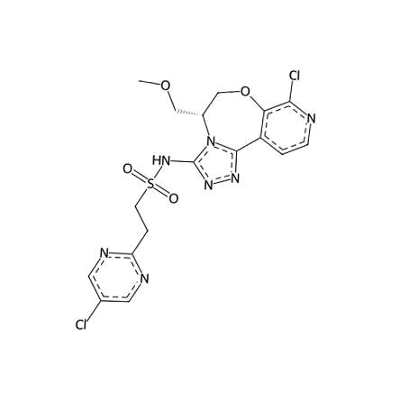 COC[C@@H]1COc2c(ccnc2Cl)-c2nnc(NS(=O)(=O)CCc3ncc(Cl)cn3)n21